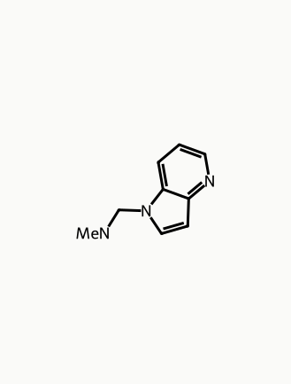 CNCn1ccc2ncccc21